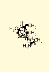 C=CC(=O)NC(C)(C)CS(=O)(=O)O.C=CC(N)=O.C=CN(C)C(C)=O